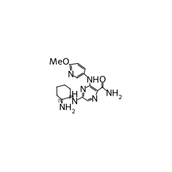 COc1ccc(Nc2nc(N[C@@H]3CCCC[C@@H]3N)cnc2C(N)=O)cn1